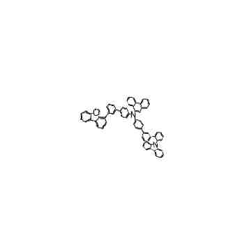 c1cc(-c2ccc(N(c3ccc(-c4cccc(-c5cccc6c5oc5ccccc56)c4)cc3)c3cc4ccccc4c4ccccc34)cc2)cc(-c2ccccc2-n2c3ccccc3c3ccccc32)c1